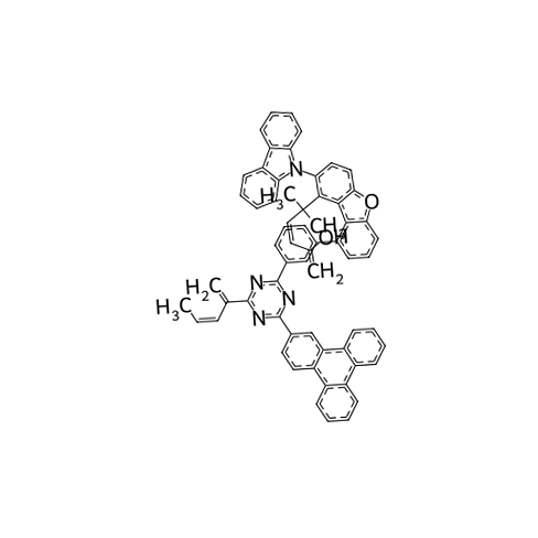 C=C(O)/C=C\C(C)(C)c1c(-n2c3ccccc3c3ccccc32)ccc2oc3cccc(-c4cccc(-c5nc(C(=C)/C=C\C)nc(-c6ccc7c8ccccc8c8ccccc8c7c6)n5)c4)c3c12